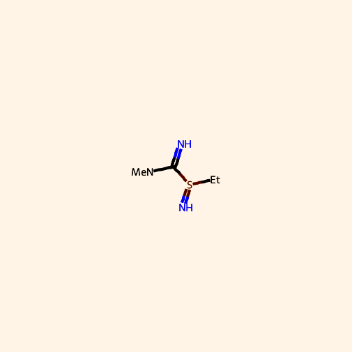 CCS(=N)C(=N)NC